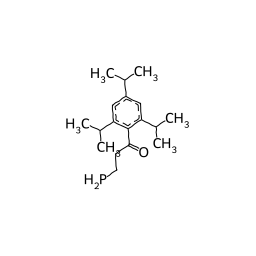 CC(C)c1cc(C(C)C)c(C(=O)CCP)c(C(C)C)c1